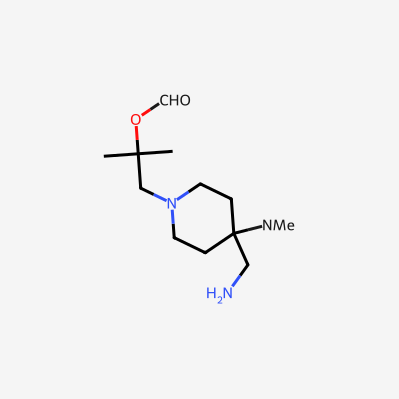 CNC1(CN)CCN(CC(C)(C)OC=O)CC1